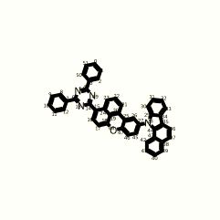 c1ccc(-c2nc(-c3ccccc3)nc(-c3ccc4c5c(cccc35)-c3cc(-n5c6ccccc6c6ccc7ccccc7c65)ccc3O4)n2)cc1